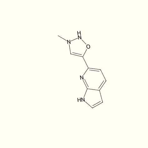 CN1C=C(c2ccc3cc[nH]c3n2)ON1